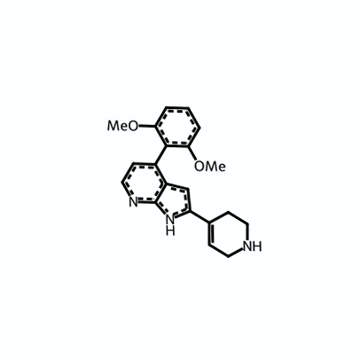 COc1cccc(OC)c1-c1ccnc2[nH]c(C3=CCNCC3)cc12